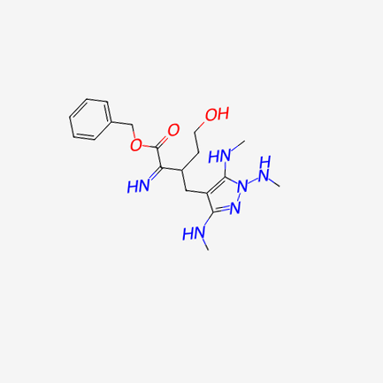 CNc1nn(NC)c(NC)c1CC(CCO)C(=N)C(=O)OCc1ccccc1